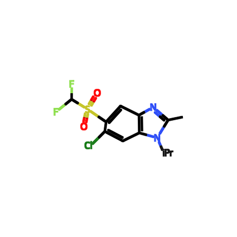 Cc1nc2cc(S(=O)(=O)C(F)F)c(Cl)cc2n1C(C)C